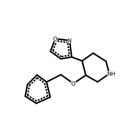 c1ccc(COC2CNCCC2c2ccon2)cc1